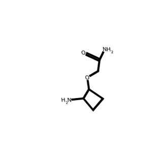 NC(=O)COC1CCC1N